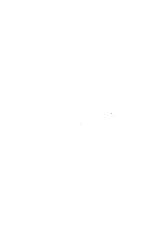 CN(C)CCOc1ccc(-c2ccccc2)cc1C(=O)/C=C/c1ccc(O)cc1